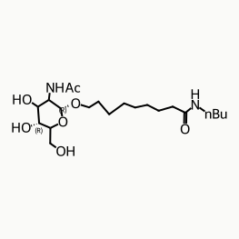 CCCCNC(=O)CCCCCCCCO[C@@H]1OC(CO)[C@H](O)C(O)C1NC(C)=O